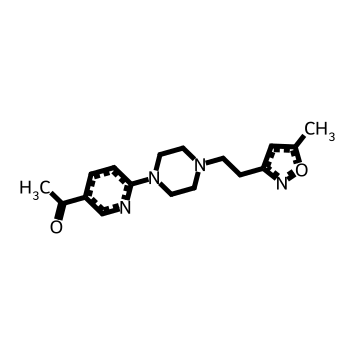 CC(=O)c1ccc(N2CCN(CCc3cc(C)on3)CC2)nc1